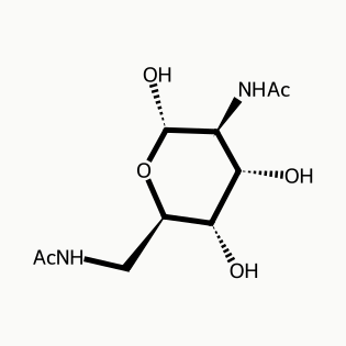 CC(=O)NC[C@H]1O[C@H](O)[C@@H](NC(C)=O)[C@H](O)[C@@H]1O